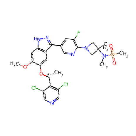 COc1cc2[nH]nc(-c3cnc(N4CC(C)(N(C)S(C)(=O)=O)C4)c(F)c3)c2cc1O[C@H](C)c1c(Cl)cncc1Cl